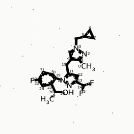 Cc1nn(CC2CC2)cc1Cc1cc(C(F)F)nn1-c1ccc(F)cc1[C@@H](C)O